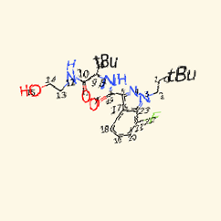 CC(C)(C)CCn1nc(C(=O)NC(C(=O)NCCO)C(C)(C)C)c2cccc(F)c21